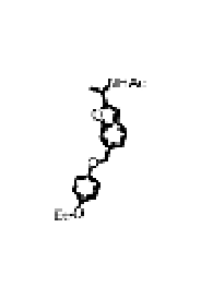 CCOc1ccc(OCc2ccc3cc(C(C)NC(C)=O)oc3c2)cc1